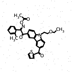 CCOCCn1c2ccc(C(=O)C(=NOC(C)=O)c3ccccc3C)cc2c2cc(C(=O)c3cccs3)ccc21